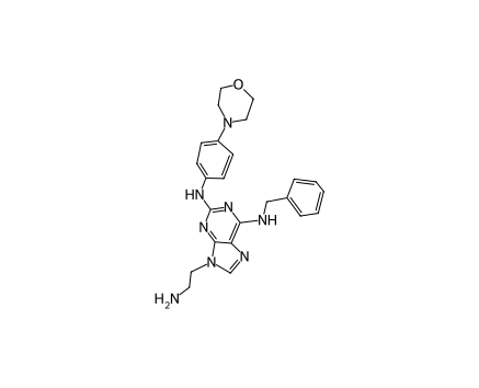 NCCn1cnc2c(NCc3ccccc3)nc(Nc3ccc(N4CCOCC4)cc3)nc21